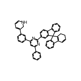 C1=CNCC(c2cccc(-c3cc(-c4ccccc4)nc(-c4ccc5c(c4)C4(C6=C(C=CCC6)c6ccccc64)c4ccccc4-5)n3)c2)=C1